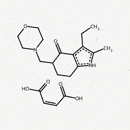 CCc1c(C)[nH]c2c1C(=O)C(CN1CCOCC1)CC2.O=C(O)/C=C\C(=O)O